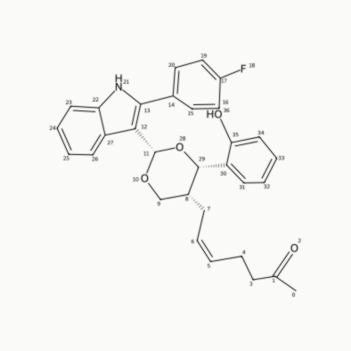 CC(=O)CC/C=C\C[C@@H]1CO[C@H](c2c(-c3ccc(F)cc3)[nH]c3ccccc23)O[C@@H]1c1ccccc1O